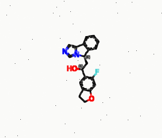 O[C@@H](C[C@@H]1c2ccccc2-c2cncn21)c1cc2c(cc1F)OCC2